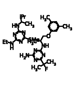 CCNc1nc(NC(C)C(C)C)nc(SC)n1.Cc1cc(C)cc(OCC(C)Nc2nc(N)nc(C(C)(C)F)n2)c1